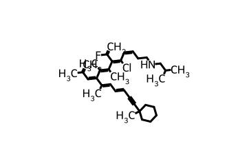 C=C(C)/C=C(C(/C)=C/C=C/C#CC1(C)CCCCC1)\C(C)=C(C)\C(C(=C)F)=C(Cl)\C=C/CCNCC(C)C